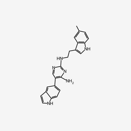 Cc1ccc2[nH]cc(CCNc3ncc(-c4ccc5[nH]ccc5c4)c(N)n3)c2c1